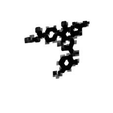 CCc1c(N2CCN(C(=O)OC(C)(C)C)CC2)c(=O)n2nc(Br)nc2n1CC(=O)Nc1ccc(C(F)(F)F)cc1F